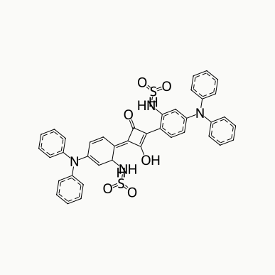 O=C1C(c2ccc(N(c3ccccc3)c3ccccc3)cc2N[SH](=O)=O)=C(O)/C1=C1/C=CC(N(c2ccccc2)c2ccccc2)=CC1N[SH](=O)=O